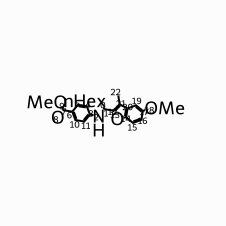 CCCCCCC(Nc1ccc(C(=O)OC)cc1)c1oc2ccc(OC)cc2c1C